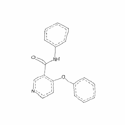 O=C(Nc1ccccc1)c1cnccc1Oc1ccccc1